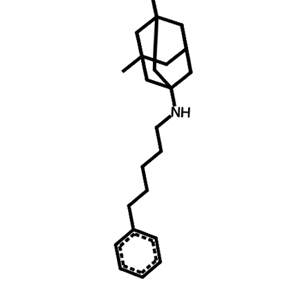 CC12CC3CC(C)(C1)CC(NCCCCCc1ccccc1)(C3)C2